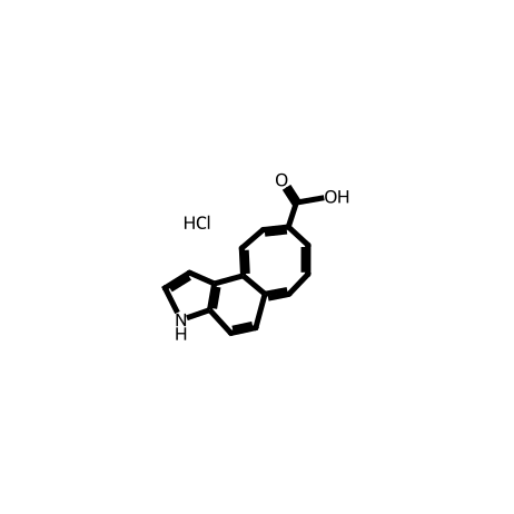 Cl.O=C(O)C1=C/C=c2\c(ccc3[nH]ccc23)=C/C=C\1